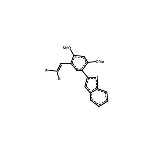 COc1cc(OC)c(-c2cc3ccccc3s2)cc1C=C(Br)Br